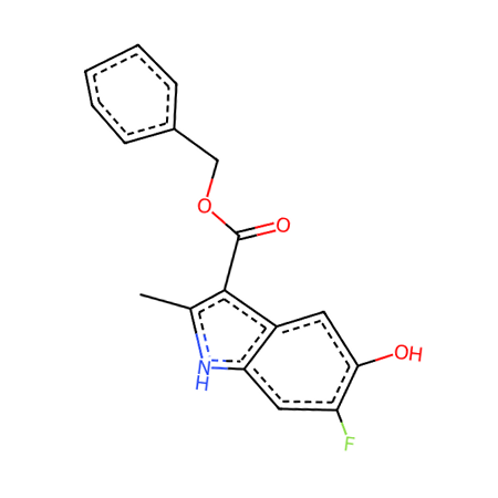 Cc1[nH]c2cc(F)c(O)cc2c1C(=O)OCc1ccccc1